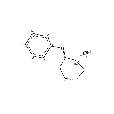 O[C@@H]1CCCC[C@H]1Oc1ccccc1